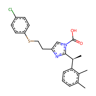 Cc1cccc([C@H](C)c2nc(CCSc3ccc(Cl)cc3)cn2C(=O)O)c1C